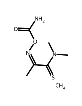 C.CC(=NOC(N)=O)C(=S)N(C)C